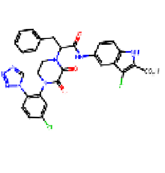 O=C(O)c1[nH]c2ccc(NC(=O)C(Cc3ccccc3)N3CCN(c4cc(Cl)ccc4-n4cnnn4)C(=O)C3=O)cc2c1Cl